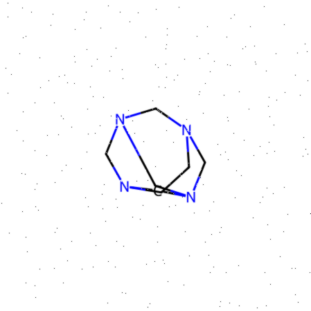 C1CN2CN3CN1CN(C2)C3